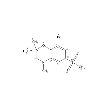 CN1CC(C)(C)Oc2c(Br)cc(S(C)(=O)=O)cc21